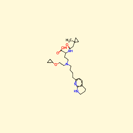 CC1(CC(=O)NC(CCN(CCCCc2ccc3c(n2)NCCC3)CCOC2CC2)C(=O)O)CC1